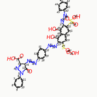 O=C(O)C1=NN(c2ccccc2)C(=O)C1N=Nc1ccc(N=Nc2c(SOOO)cc3cc(S(=O)(=O)O)c(N=Nc4ccccc4)c(O)c3c2O)cc1